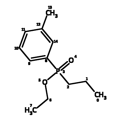 CCCP(=O)(OCC)c1cccc(C)c1